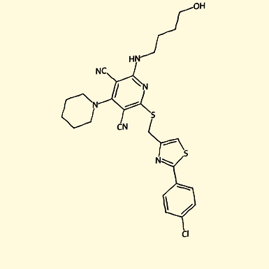 N#Cc1c(NCCCCO)nc(SCc2csc(-c3ccc(Cl)cc3)n2)c(C#N)c1N1CCCCC1